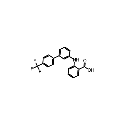 O=C(O)c1ccccc1Nc1cccc(-c2ccc(C(F)(F)F)cc2)c1